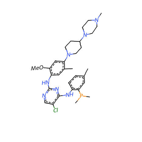 COc1cc(N2CCC(N3CCN(C)CC3)CC2)c(C)cc1Nc1ncc(Cl)c(Nc2ccc(C)cc2P(C)C)n1